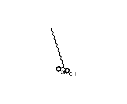 CCCCCCCCCCCCCCCCCCCC(c1ccc(O)cc1)c1ccccc1O